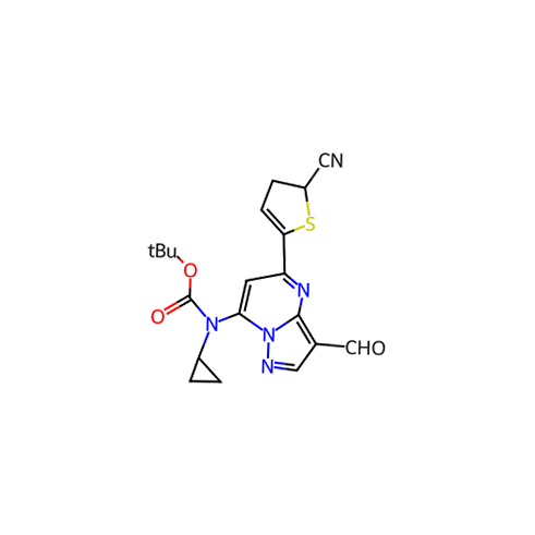 CC(C)(C)OC(=O)N(c1cc(C2=CCC(C#N)S2)nc2c(C=O)cnn12)C1CC1